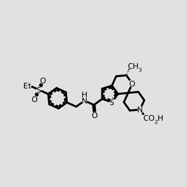 CCS(=O)(=O)c1ccc(CNC(=O)c2cc3c(s2)C2(CCN(C(=O)O)CC2)O[C@@H](C)C3)cc1